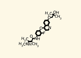 CN/C(C)=C(\C)C(=O)Nc1ccc(Oc2ccnc3cc(OCC(C)(C)O)ccc23)c(F)c1